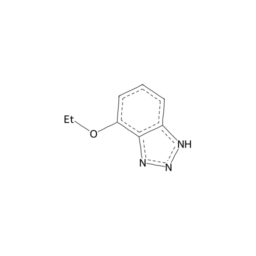 CCOc1cccc2[nH]nnc12